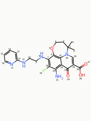 CC1(C)CCOc2c(NCCNc3ccccn3)c(F)c(N)c3c(=O)c(C(=O)O)cn1c23